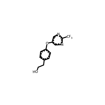 OCCc1ccc(Oc2cnc(C(F)(F)F)nc2)cc1